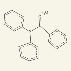 O.O=C(c1ccccc1)P(c1ccccc1)c1ccccc1